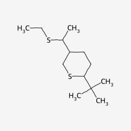 CCSC(C)C1CCC(C(C)(C)C)SC1